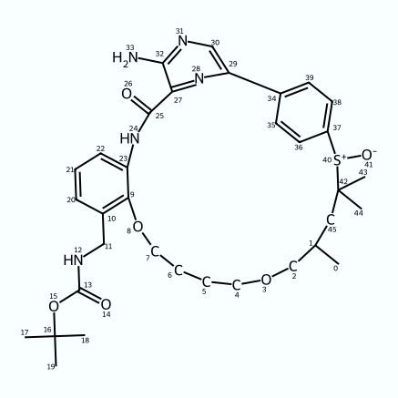 CC1COCCCCOc2c(CNC(=O)OC(C)(C)C)cccc2NC(=O)c2nc(cnc2N)-c2ccc(cc2)[S+]([O-])C(C)(C)C1